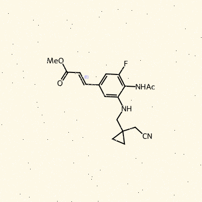 COC(=O)/C=C/c1cc(F)c(NC(C)=O)c(NCC2(CC#N)CC2)c1